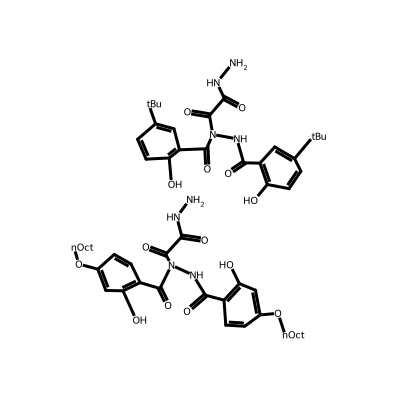 CC(C)(C)c1ccc(O)c(C(=O)NN(C(=O)C(=O)NN)C(=O)c2cc(C(C)(C)C)ccc2O)c1.CCCCCCCCOc1ccc(C(=O)NN(C(=O)C(=O)NN)C(=O)c2ccc(OCCCCCCCC)cc2O)c(O)c1